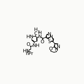 CCCNCC(=O)NC1=CNC(C)C(NC(=O)c2cnn3cc(-c4cnn5c4OCCC5)sc23)=C1